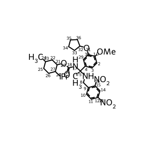 COc1ccc([C@](C)(NCc2ccc([N+](=O)[O-])cc2[N+](=O)[O-])NC(=O)OC2CC(C)CCC2C(C)C)cc1OC1CCCC1